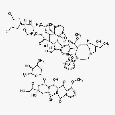 CC[C@]1(O)C[C@H]2C[N@](CCc3c([nH]c4ccccc34)[C@@](C(=O)OC)(c3cc4c(cc3OC)N(C=O)[C@H]3[C@@](O)(C(=O)OC)[C@H](OC(C)=O)[C@]5(CC)C=CCN6CC[C@]43[C@@H]65)C2)C1.COc1cccc2c1C(=O)c1c(O)c3c(c(O)c1C2=O)C[C@@](O)(C(=O)CO)C[C@@H]3O[C@H]1C[C@H](N)[C@H](O)[C@H](C)O1.O=P1(N(CCCl)CCCl)NCCCO1